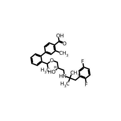 Cc1cc(-c2ccccc2C(C)OC[C@H](O)CNC(C)(C)Cc2cc(F)ccc2F)ccc1C(=O)O